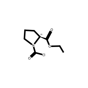 CCOC(=O)[C@@H]1CCCN1C(=O)Cl